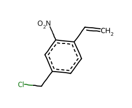 C=Cc1ccc(CCl)cc1[N+](=O)[O-]